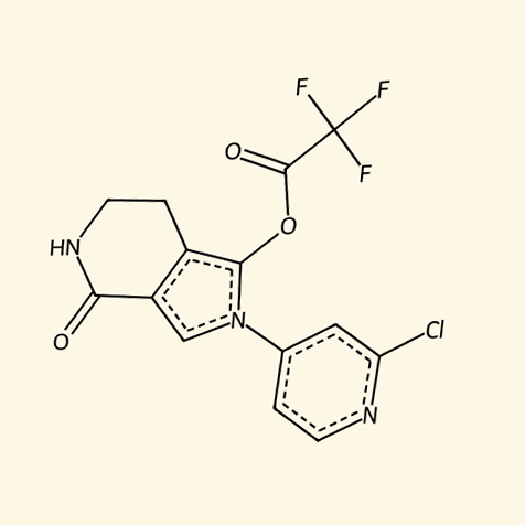 O=C1NCCc2c1cn(-c1ccnc(Cl)c1)c2OC(=O)C(F)(F)F